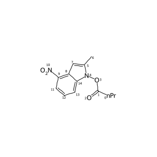 CCCC(=O)On1c(C)cc2c([N+](=O)[O-])cccc21